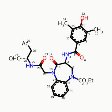 CCOC(=O)N1C[C@H](NC(=O)c2cc(C)c(O)c(C)c2)C(=O)N(CC(=O)N[C@H](C=O)CC(C)=O)c2ccccc21